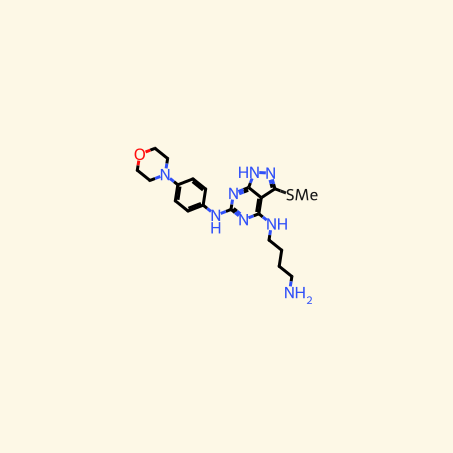 CSc1n[nH]c2nc(Nc3ccc(N4CCOCC4)cc3)nc(NCCCCN)c12